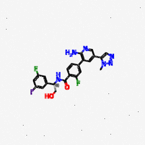 Cn1nncc1-c1cnc(N)c(-c2ccc(C(=O)N[C@H](CO)c3cc(F)cc(I)c3)c(F)c2)c1